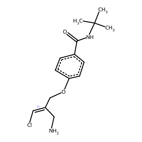 CC(C)(C)NC(=O)c1ccc(OC/C(=C/Cl)CN)cc1